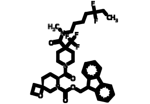 CCC(F)(F)CCCCN(C)C(=O)C1(C(F)(F)F)CCN(C(=O)[C@@H]2CC[C@@]3(CCO3)CN2C(=O)OCC2c3ccccc3-c3ccccc32)CC1